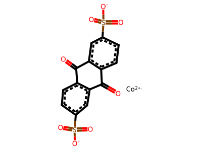 O=C1c2ccc(S(=O)(=O)[O-])cc2C(=O)c2ccc(S(=O)(=O)[O-])cc21.[Co+2]